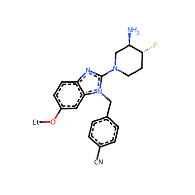 CCOc1ccc2nc(N3CC[C@@H](F)[C@H](N)C3)n(Cc3ccc(C#N)cc3)c2c1